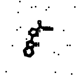 CNC(=O)[C@@H]1CSC(c2cc3ccccc3[nH]2)=N1